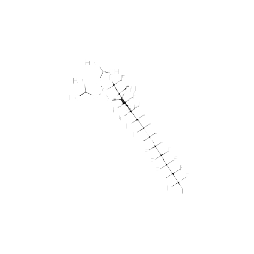 CC(C)O[Si](OC(C)C)(OC(C)C)C(F)(F)C(F)(F)C(F)(F)C(F)(F)C(F)(F)C(F)(F)C(F)(F)C(F)(F)C(F)(F)C(F)(F)C(F)(F)C(F)(F)F